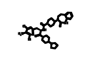 CCc1cc(C[C@@H](NC(=O)N2CCC(N3CCc4ccccc4NC3=O)CC2)C(=O)N2CCC(N3CCCC3)CC2)cc(Cl)c1N